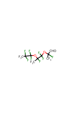 O=CC(F)(OC(F)(F)C(F)(OC(F)(F)C(F)(F)C(F)(F)F)C(F)(F)F)C(F)(F)F